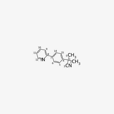 CC(C)(C#N)c1ccc(-c2ccccn2)cc1